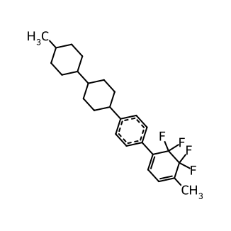 CC1=CC=C(c2ccc(C3CCC(C4CCC(C)CC4)CC3)cc2)C(F)(F)C1(F)F